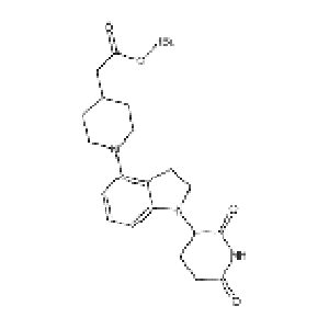 CC(C)(C)OC(=O)CC1CCN(c2cccc3c2CCN3C2CCC(=O)NC2=O)CC1